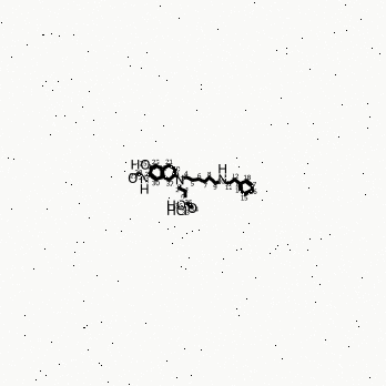 CCCN(CCCCCCNCCc1ccccc1)[C@@H]1CCc2cc(O)c(NC=O)cc2C1.Cl.O=CO